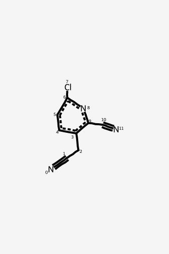 N#CCc1ccc(Cl)nc1C#N